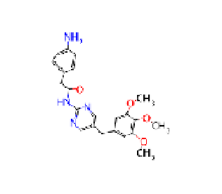 COc1cc(Cc2cnc(NC(=O)Cc3ccc(N)cc3)nc2)cc(OC)c1OC